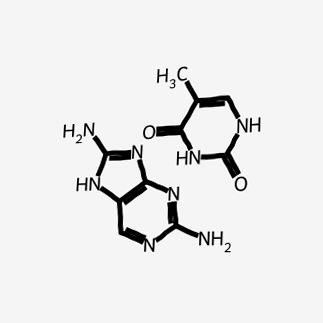 Cc1c[nH]c(=O)[nH]c1=O.Nc1ncc2[nH]c(N)nc2n1